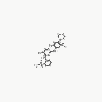 CNS(=O)(=O)c1ccccc1Nc1nc(Nc2cc(OC)c(N3CCOCC3)cc2OC)ncc1Br